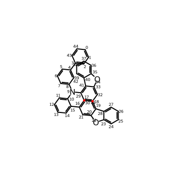 c1ccc(-c2cccc(N(c3ccccc3-c3ccc4c(c3)oc3ccccc34)c3cccc4oc5ccccc5c34)c2)cc1